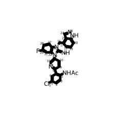 CC(=O)Nc1ccc(Cl)cc1-c1ccc(-n2c(=N)n(Cc3cccc4[nH]ncc34)c3ccc(F)cc32)cn1